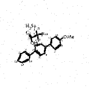 COc1ccc(-c2ccc(-c3ccccc3)cc2)cc1.O=C(O)C(F)(F)F.S